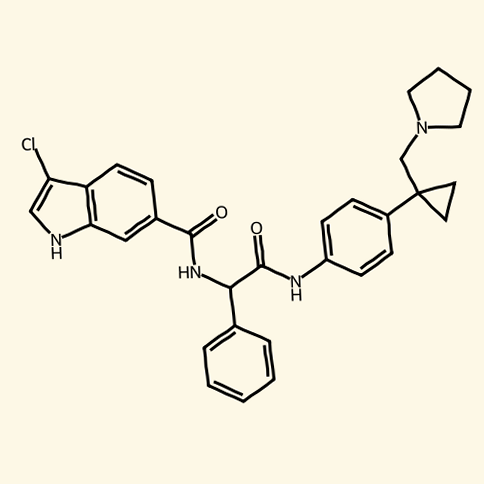 O=C(NC(C(=O)Nc1ccc(C2(CN3CCCC3)CC2)cc1)c1ccccc1)c1ccc2c(Cl)c[nH]c2c1